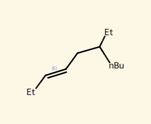 [CH2]C/C=C/CC(CC)CCCC